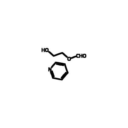 O=COCCO.c1ccncc1